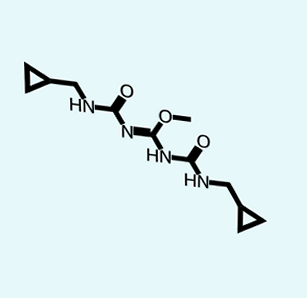 COC(=NC(=O)NCC1CC1)NC(=O)NCC1CC1